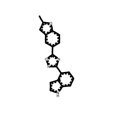 Cc1cc2cc(-c3nc(-c4cccc5[nH]ccc45)no3)ccc2o1